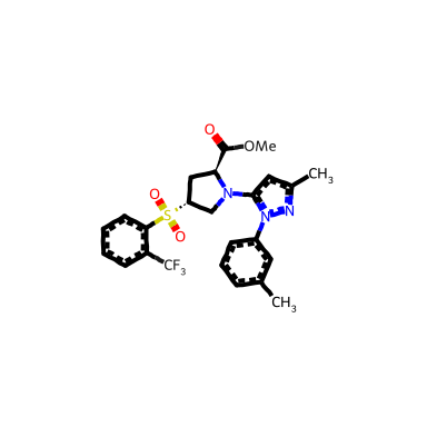 COC(=O)[C@@H]1C[C@@H](S(=O)(=O)c2ccccc2C(F)(F)F)CN1c1cc(C)nn1-c1cccc(C)c1